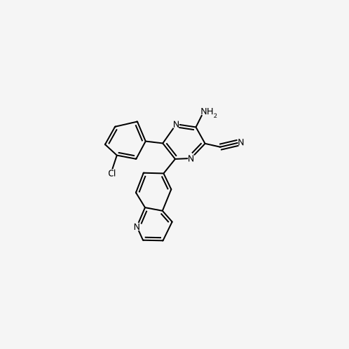 N#Cc1nc(-c2ccc3ncccc3c2)c(-c2cccc(Cl)c2)nc1N